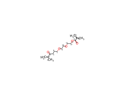 C=C(C)C(=O)CCCOCCOCCOC(=O)C(=C)C